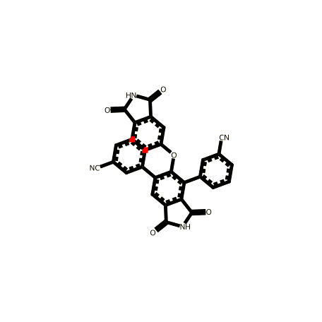 N#Cc1cccc(-c2cc3c(c(-c4cccc(C#N)c4)c2Oc2ccc4c(c2)C(=O)NC4=O)C(=O)NC3=O)c1